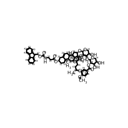 COc1ccc(C(=O)OC2C(OC3C(O)COC(O[C@H]4C[C@H]5[C@@H]6CC=C7C[C@@H](OC(=O)CCNC(=O)OCC8c9ccccc9-c9ccccc98)CC[C@]7(C)C6CC[C@]5(C)[C@@]4(O)[C@H](C)C(=O)CCC(C)C)C3O)OCC(O)C2O)cc1